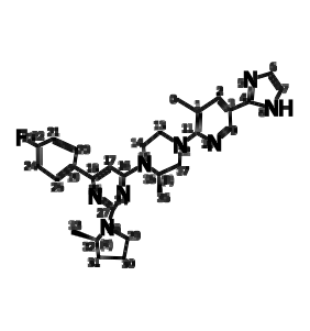 Cc1cc(-c2ncc[nH]2)cnc1N1CCN(c2cc(-c3ccc(F)cc3)nc(N3CCC[C@H]3C)n2)[C@H](C)C1